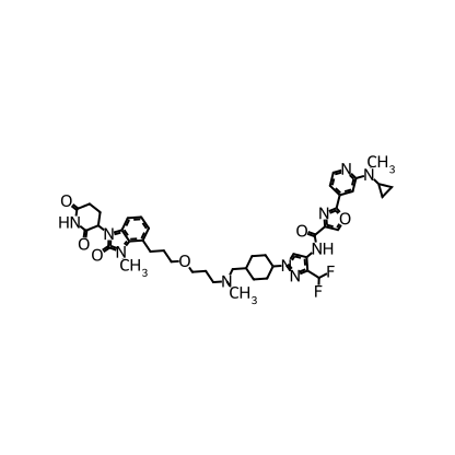 CN(CCCOCCCc1cccc2c1n(C)c(=O)n2C1CCC(=O)NC1=O)CC1CCC(n2cc(NC(=O)c3coc(-c4ccnc(N(C)C5CC5)c4)n3)c(C(F)F)n2)CC1